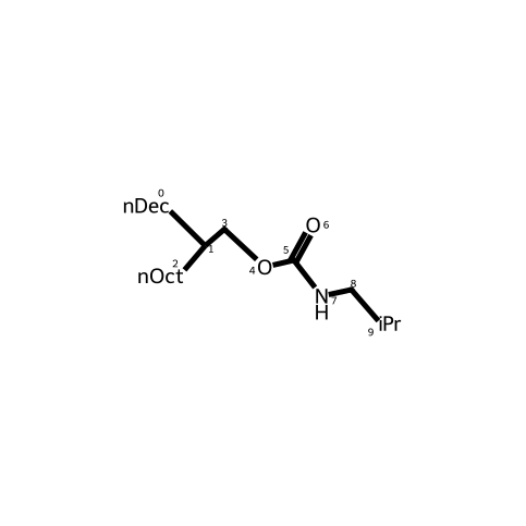 CCCCCCCCCCC(CCCCCCCC)COC(=O)NCC(C)C